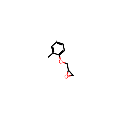 Cc1c[c]ccc1OCC1CO1